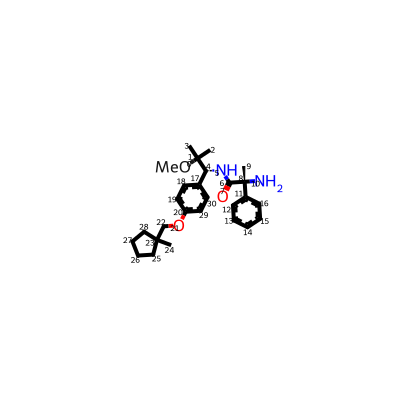 COC(C)(C)[C@H](NC(=O)[C@](C)(N)c1ccccc1)c1ccc(OCC2(C)CCCC2)cc1